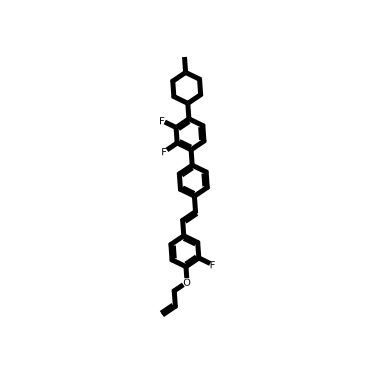 C=CCOc1ccc(/C=C/c2ccc(-c3ccc(C4CCC(C)CC4)c(F)c3F)cc2)cc1F